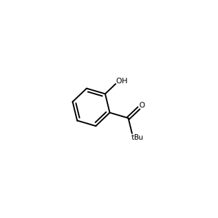 CC(C)(C)C(=O)c1ccccc1O